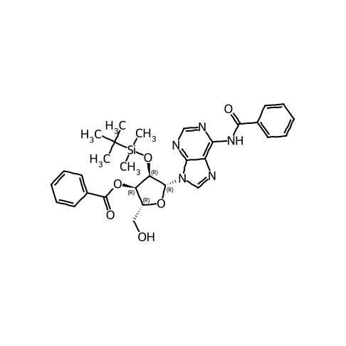 CC(C)(C)[Si](C)(C)O[C@@H]1[C@H](OC(=O)c2ccccc2)[C@@H](CO)O[C@H]1n1cnc2c(NC(=O)c3ccccc3)ncnc21